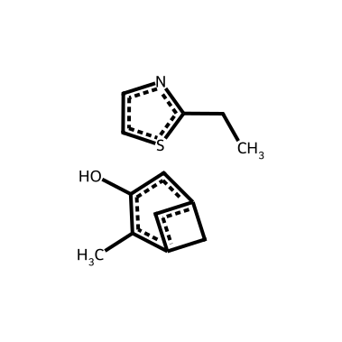 CCc1nccs1.Cc1c(O)cc2cc1C2